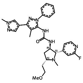 COCC[C@@H]1C[C@@H](NC(=O)Nc2c(C)c(-c3cnn(C)c3)nn2-c2ccccc2)[C@H](c2ccnc(F)c2)N1C